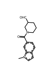 Cn1ccc2ccc(C(=O)N3CCCC(C=O)C3)cc21